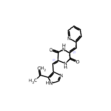 C=C(C)c1[nH]cnc1/C=c1\[nH]c(=O)/c(=C/c2ccccn2)[nH]c1=O